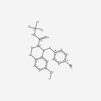 COc1ccc2c(c1)C(Cc1ccc(Br)cc1)N(C(=O)OC(C)(C)C)CC2